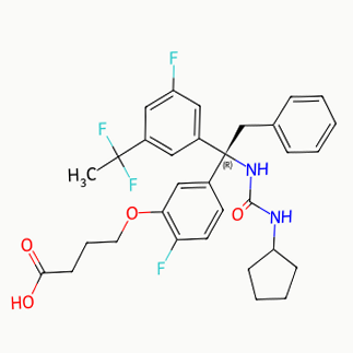 CC(F)(F)c1cc(F)cc([C@](Cc2ccccc2)(NC(=O)NC2CCCC2)c2ccc(F)c(OCCCC(=O)O)c2)c1